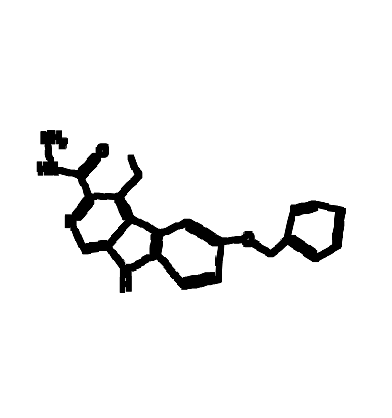 CCc1c(C(=O)NN)ncc2[nH]c3ccc(OCc4ccccc4)cc3c12